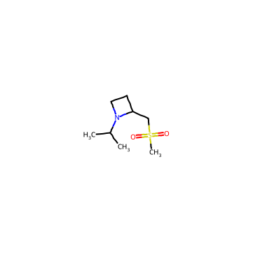 CC(C)N1CCC1CS(C)(=O)=O